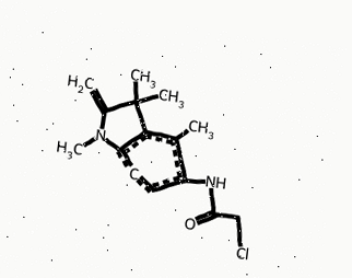 C=C1N(C)c2ccc(NC(=O)CCl)c(C)c2C1(C)C